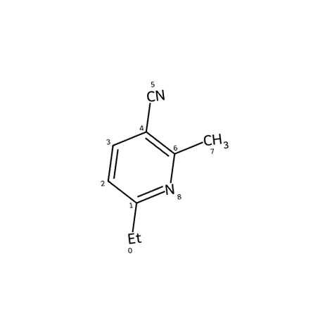 CCc1ccc(C#N)c(C)n1